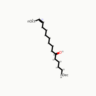 CCCCCCCC/C=C\CCCCCCCC(=O)CCCCCCCCCCCCCC